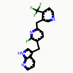 Fc1nc([CH]c2cnccc2C(F)(F)F)ccc1Cc1c[nH]c2ncccc12